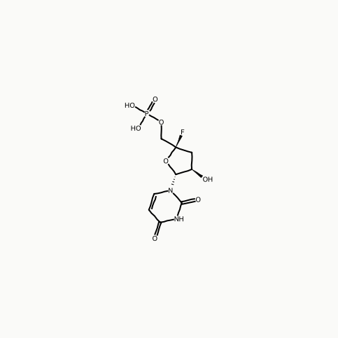 O=c1ccn([C@@H]2O[C@](F)(COP(=O)(O)O)C[C@H]2O)c(=O)[nH]1